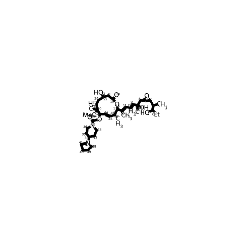 CCC(O)C(C)C1OC1CC(C)(O)/C=C/C=C(\C)C1OC(=O)CC(O)CCC(C)(OC)C(OC(=O)N2CCC(N3CCCC3)CC2)/C=C/C1C